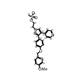 COc1ccc(COc2ccc(-c3nn(CCOS(C)(=O)=O)cc3-c3ccncc3)cc2)nc1